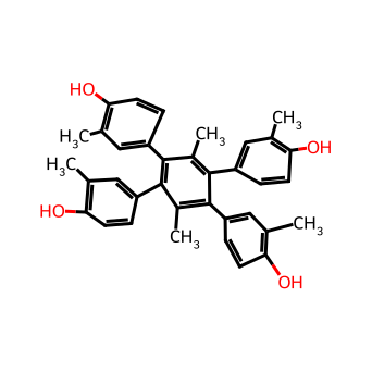 Cc1cc(-c2c(C)c(-c3ccc(O)c(C)c3)c(-c3ccc(O)c(C)c3)c(C)c2-c2ccc(O)c(C)c2)ccc1O